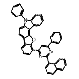 c1ccc(-c2cc(-c3cccc4c3oc3c4ccc4c3c3ccccc3n4-c3ccccc3)nc(-c3cccc4ccccc34)n2)cc1